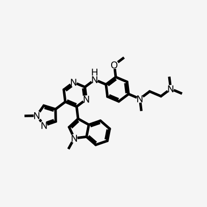 COc1cc(N(C)CCN(C)C)ccc1Nc1ncc(-c2cnn(C)c2)c(-c2cn(C)c3ccccc23)n1